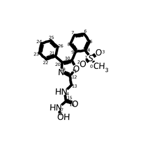 CS(=O)(=O)c1ccccc1-c1oc(CNC(=O)NO)nc1-c1ccccc1